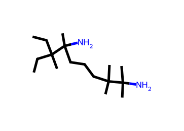 CCC(C)(CC)C(C)(N)CCCC(C)(C)C(C)(C)N